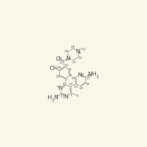 Cc1nc(N)nc(-c2ccc(C(=O)N3CCN(C)CC3)c(Cl)c2)c1-c1ccc(N)nc1